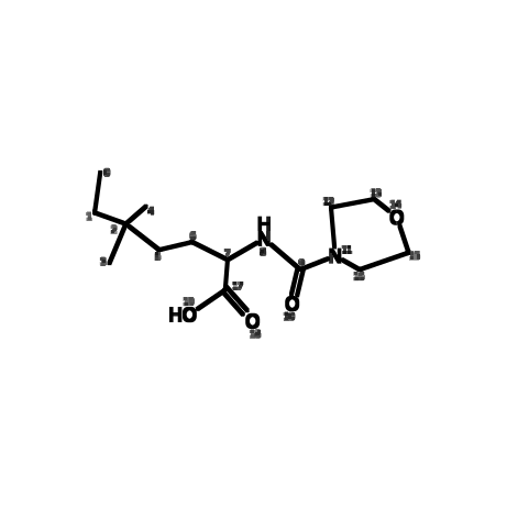 CCC(C)(C)CCC(NC(=O)N1CCOCC1)C(=O)O